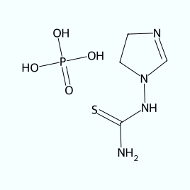 NC(=S)NN1C=NCC1.O=P(O)(O)O